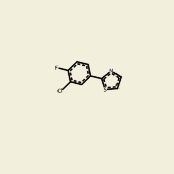 Fc1ccc(-c2nc[c]s2)cc1Cl